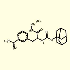 CCCNC(=O)[C@H](Cc1cccc(C(=N)N)c1)NC(=O)OC12CC3CC(CC(C3)C1)C2.Cl